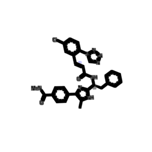 CNC(=O)c1ccc(-c2nc([C@H](Cc3ccccc3)NC(=O)/C=C/c3cc(Cl)ccc3-n3cnnn3)[nH]c2C)cc1